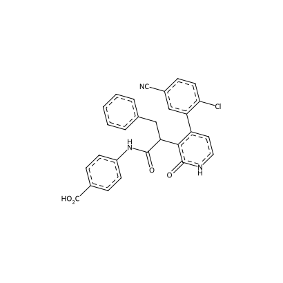 N#Cc1ccc(Cl)c(-c2cc[nH]c(=O)c2C(Cc2ccccc2)C(=O)Nc2ccc(C(=O)O)cc2)c1